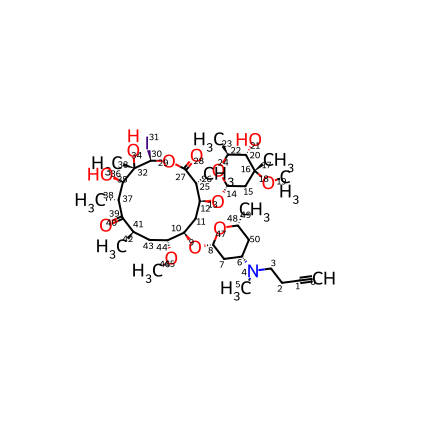 C#CCCN(C)[C@@H]1C[C@H](O[C@@H]2C[C@H](O[C@H]3C[C@@](C)(OC)[C@@H](O)[C@H](C)O3)[C@@H](C)C(=O)O[C@H](I)[C@@](C)(O)[C@H](O)[C@@H](C)C(=O)[C@H](C)C[C@H]2OC)O[C@H](C)C1